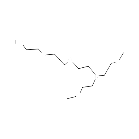 COCCN(CCOC)CCOCCOCCO